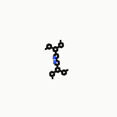 Cc1cccc(-c2cc(-c3ccc(-c4ccc(-c5cc(-c6cccc(C)c6)cc(-c6cccc(C)c6)c5)cn4)nc3)cc(-c3cccc(C)c3)c2)c1